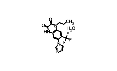 CCCn1c(=O)c(=O)[nH]c2cc(-n3ccnc3)c(C(F)(F)F)cc21.O